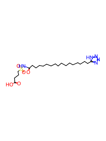 O=C(O)CCCS(=O)(=O)NC(=O)CCCCCCCCCCCCCCCCc1nnn[nH]1